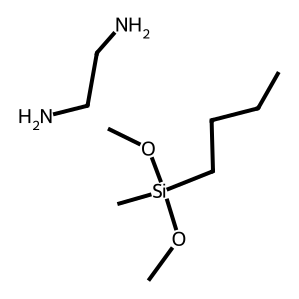 CCCC[Si](C)(OC)OC.NCCN